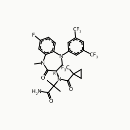 CN1C(=O)[C@H](N(C(=O)C2(C(F)(F)F)CC2)C(C)(C)C(N)=O)CN(c2cc(C(F)(F)F)cc(C(F)(F)F)c2)c2ccc(F)cc21